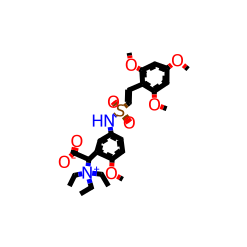 CC[N+](CC)(CC)C(C(=O)[O-])c1cc(NS(=O)(=O)/C=C/c2c(OC)cc(OC)cc2OC)ccc1OC